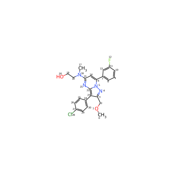 COCc1nn2c(-c3cccc(F)c3)cc(N(C)CCO)nc2c1-c1ccc(Cl)cc1